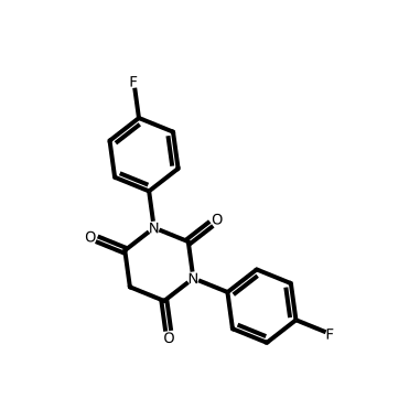 O=C1CC(=O)N(c2ccc(F)cc2)C(=O)N1c1ccc(F)cc1